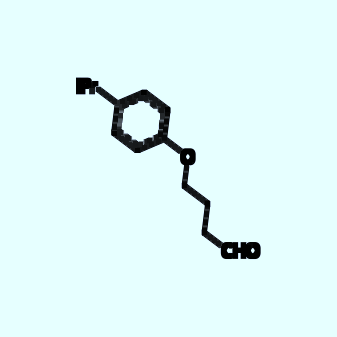 CC(C)c1ccc(OCCCC=O)cc1